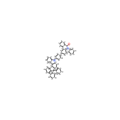 O=c1c2ccccc2c2cc(-c3ccc(-n4c5ccccc5c5c6c(ccc54)C4(c5ccccc5-c5ccccc54)c4ccccc4-6)cc3)cc3c4ccccc4n1c23